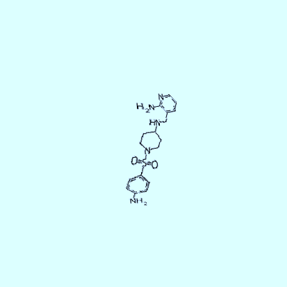 Nc1ccc(S(=O)(=O)N2CCC(NCc3cccnc3N)CC2)cc1